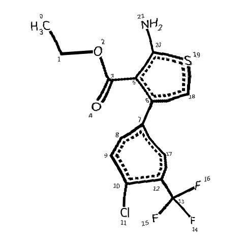 CCOC(=O)c1c(-c2ccc(Cl)c(C(F)(F)F)c2)csc1N